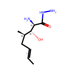 C/C=C/C[C@@H](C)[C@@H](O)[C@@H](N)C(=O)NN